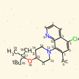 CC(=O)c1cc(Cl)c2cccnc2c1N1CCC(O[Si](C)(C)C(C)(C)C)CC1